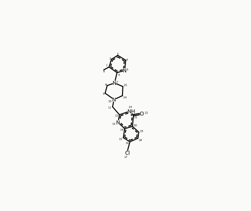 Cc1cccnc1N1CCN(Cc2nc3cc(Cl)ccc3c(=O)[nH]2)CC1